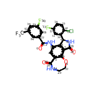 O=C(Nc1cc2c(c3c1C(c1cc(F)ccc1Cl)NC3=O)OCCNC2=O)c1cc(F)cc(C(F)(F)F)c1